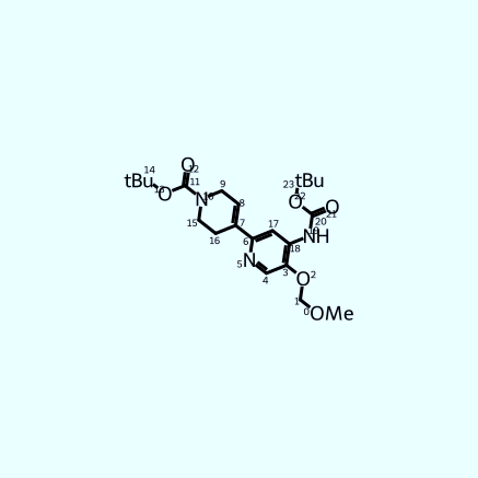 COCOc1cnc(C2=CCN(C(=O)OC(C)(C)C)CC2)cc1NC(=O)OC(C)(C)C